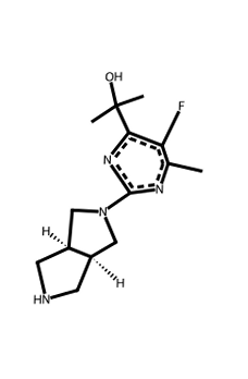 Cc1nc(N2C[C@H]3CNC[C@H]3C2)nc(C(C)(C)O)c1F